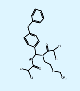 CCOCCN(C(=O)C(Cl)Cl)C(NC(=O)C(Cl)Cl)c1ccc(Oc2ccccc2)cc1